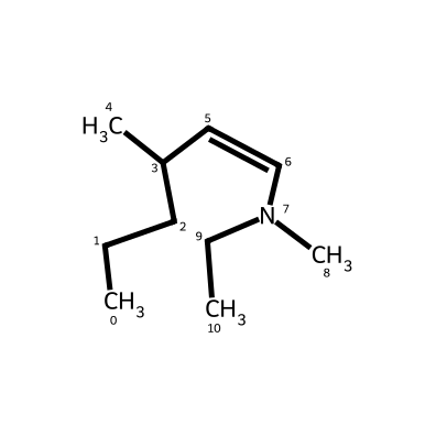 CCCC(C)/C=C\N(C)CC